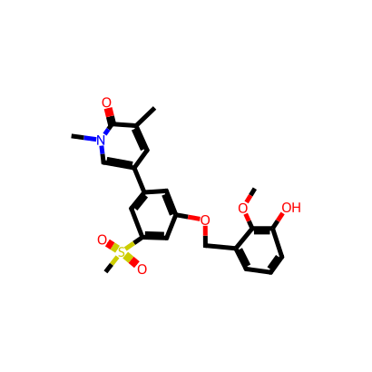 COc1c(O)cccc1COc1cc(-c2cc(C)c(=O)n(C)c2)cc(S(C)(=O)=O)c1